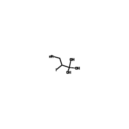 CCCCC(I)C(O)(O)O